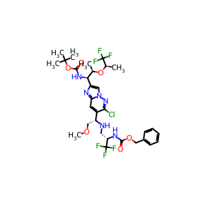 COC[C@@H](NC[C@H](NC(=O)OCc1ccccc1)C(F)(F)F)c1cc2nc([C@@H](NC(=O)OC(C)(C)C)[C@@H](C)O[C@H](C)C(F)(F)F)cn2nc1Cl